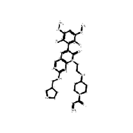 C=CC(=O)N1CCC(NCCn2c(=O)c(-c3c(Cl)c(OC)cc(OC)c3Cl)cc3cnc(NCC4CCOC4)nc32)CC1